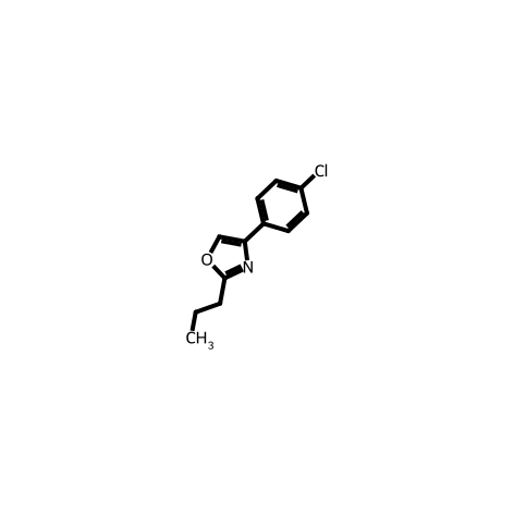 CCCc1nc(-c2ccc(Cl)cc2)co1